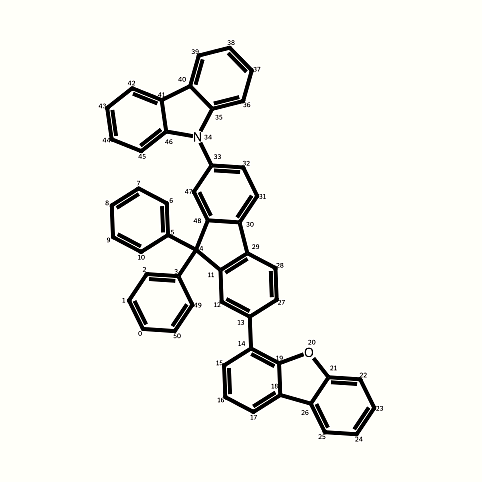 c1ccc(C2(c3ccccc3)c3cc(-c4cccc5c4oc4ccccc45)ccc3-c3ccc(-n4c5ccccc5c5ccccc54)cc32)cc1